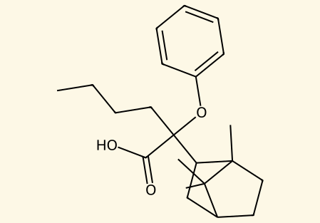 CCCCC(Oc1ccccc1)(C(=O)O)C1CC2CCC1(C)C2(C)C